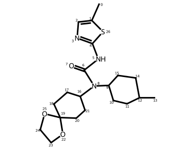 Cc1cnc(NC(=O)N(C2CCC(C)CC2)C2CCC3(CC2)OCCO3)s1